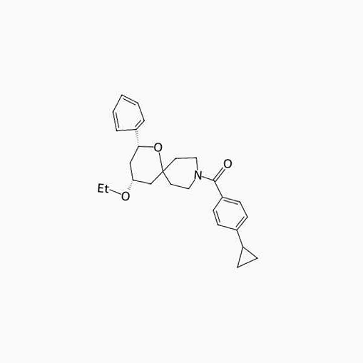 CCO[C@@H]1C[C@H](c2ccccc2)OC2(CCN(C(=O)c3ccc(C4CC4)cc3)CC2)C1